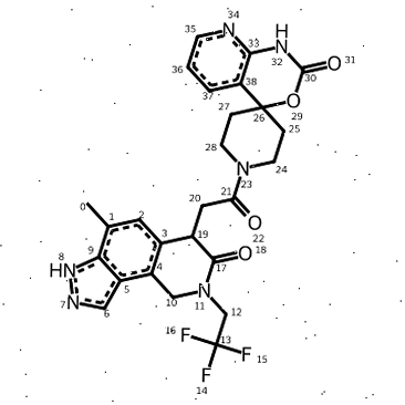 Cc1cc2c(c3cn[nH]c13)CN(CC(F)(F)F)C(=O)C2CC(=O)N1CCC2(CC1)OC(=O)Nc1ncccc12